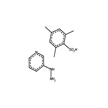 Cc1cc(C)c(S(=O)(=O)O)c(C)c1.NNc1cccnc1